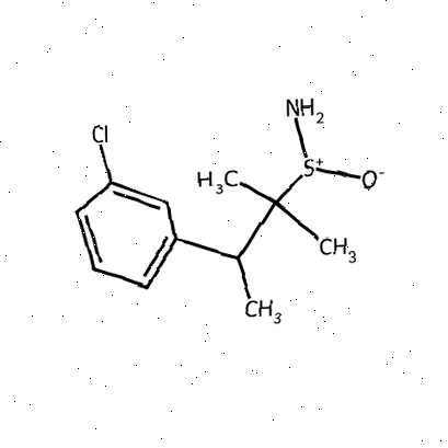 CC(c1cccc(Cl)c1)C(C)(C)[S+](N)[O-]